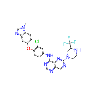 Cn1cnc2cc(Oc3ccc(Nc4ncnc5cnc(N6CCN[C@H](C(F)(F)F)C6)nc45)cc3Cl)ccc21